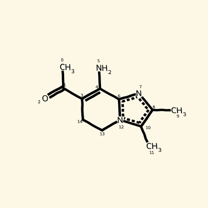 CC(=O)C1=C(N)c2nc(C)c(C)n2CC1